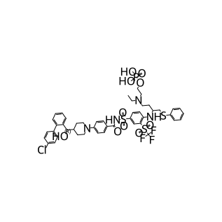 CCN(CCOP(=O)(O)O)CCC(CSc1ccccc1)Nc1ccc(S(=O)(=O)NC(=O)c2ccc(N3CCC([C@@H](O)c4ccccc4-c4ccc(Cl)cc4)CC3)cc2)cc1S(=O)(=O)C(F)(F)F